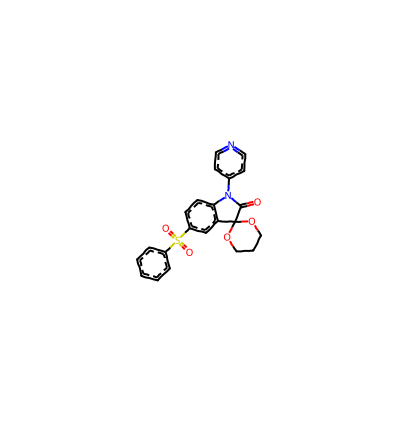 O=C1N(c2ccncc2)c2ccc(S(=O)(=O)c3ccccc3)cc2C12OCCCO2